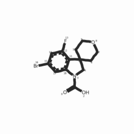 O=C(O)N1CC2(CCOCC2)c2c(F)cc(Br)cc21